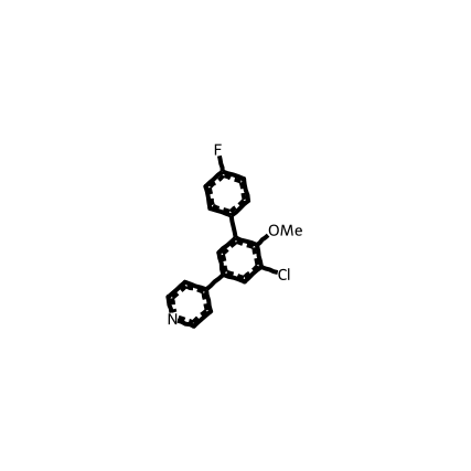 COc1c(Cl)cc(-c2ccncc2)cc1-c1ccc(F)cc1